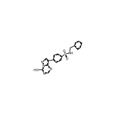 O=S(=O)(NCc1ccccc1)c1ccc(-c2cnn3c(O)ncnc23)cc1